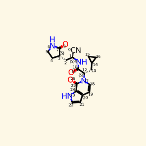 N#C[C@H](C[C@@H]1CCNC1=O)NC(=O)[C@H](CC1CC1)n1ccc2cc[nH]c2c1=O